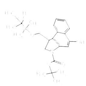 CC(C)(C)OC(=O)N1CC(CO[Si](C)(C)C(C)(C)C)c2c1cc(O)c1ccccc21